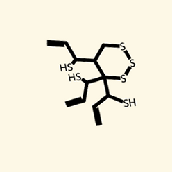 C=CC(S)C1CSSSC1(C(S)C=C)C(S)C=C